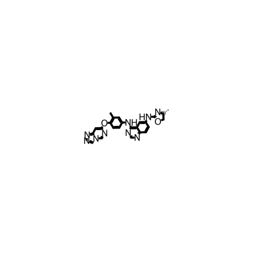 Cc1cc(Nc2ncnc3ccc(NC4=N[C@H](C)CO4)cc23)ccc1Oc1cc2nncn2cn1